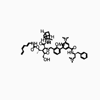 C=C/C=C\C=C\NC(=O)O[C@@H](C)[C@@H]1[C@H](CO)ON(Cc2cccc(-c3cc(C(=O)N[C@@H](Cc4ccccc4)CN(C)C)cc(N(C)C)c3)c2OC)[C@@H]1C(=O)N[C@H]1C[C@H]2C[C@@H]([C@@H]1C)C2(C)C